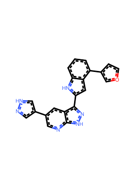 c1cc(-c2ccoc2)c2cc(-c3n[nH]c4ncc(-c5cn[nH]c5)cc34)[nH]c2c1